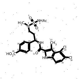 CC(=O)NS(=O)(=O)N(C)CCC(NC(=O)c1[nH]c2ccc(Cl)c(Cl)c2c1C)c1ccc(C(=O)O)cc1